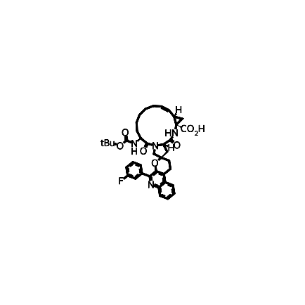 CC(C)(C)OC(=O)N[C@H]1CCCCC/C=C\[C@@H]2C[C@@]2(C(=O)O)NC(=O)[C@@H]2C[C@]3(CCc4c(c(-c5cccc(F)c5)nc5ccccc45)O3)CN2C1=O